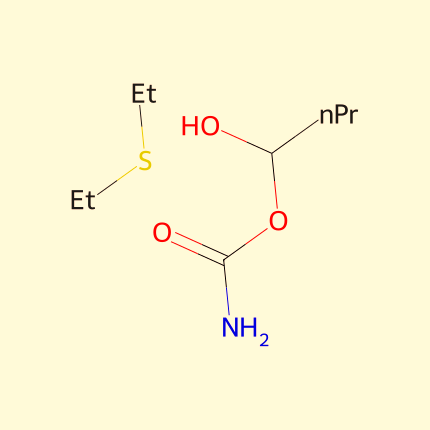 CCCC(O)OC(N)=O.CCSCC